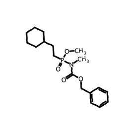 COP(=O)(CCC1CCCCC1)N(C)C(=O)OCc1ccccc1